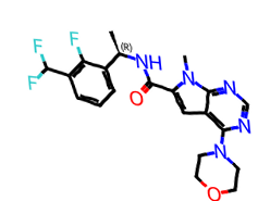 C[C@@H](NC(=O)c1cc2c(N3CCOCC3)ncnc2n1C)c1cccc(C(F)F)c1F